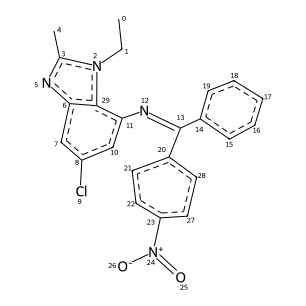 CCn1c(C)nc2cc(Cl)cc(N=C(c3ccccc3)c3ccc([N+](=O)[O-])cc3)c21